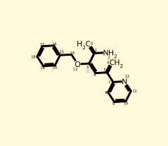 C=C(N)/C(=C\C(=C)c1ccccn1)OCc1ccccc1